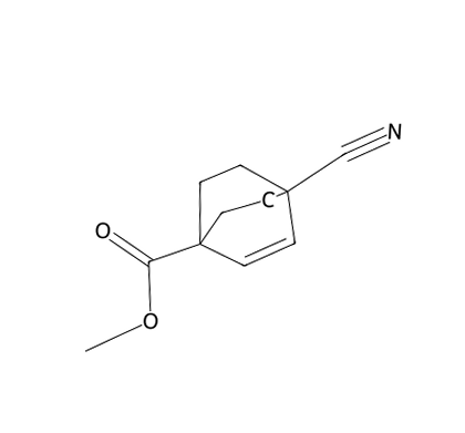 COC(=O)C12C=CC(C#N)(CC1)CC2